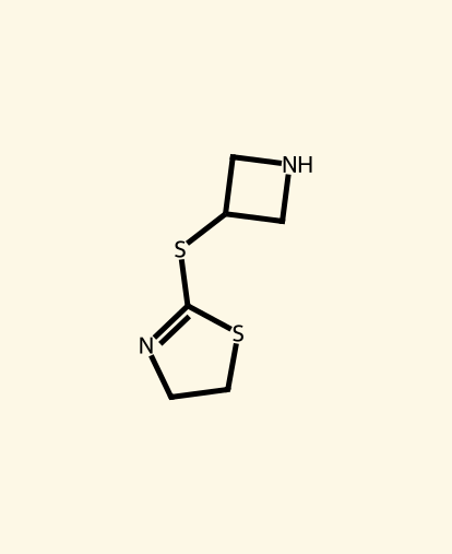 C1CSC(SC2CNC2)=N1